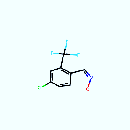 O/N=C\c1ccc(Cl)cc1C(F)(F)F